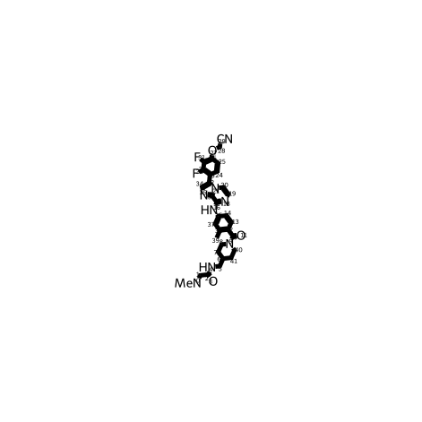 CNCC(=O)NCC1CCN(C(=O)c2ccc(Nc3nccn4c(-c5ccc(OCC#N)c(F)c5F)cnc34)cc2C)CC1